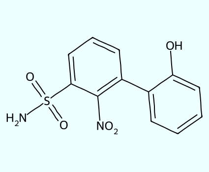 NS(=O)(=O)c1cccc(-c2ccccc2O)c1[N+](=O)[O-]